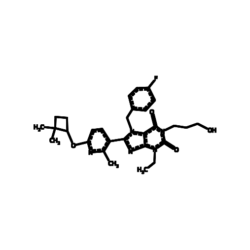 CCn1c(=O)n(CCCO)c(=O)c2c1nc(-c1ccc(OC3CCC3(C)C)nc1C)n2Cc1ccc(F)cc1